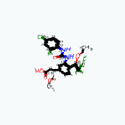 CCO[C@H](c1ccc([C@H](COC)CC(=O)O)cc1NC(=O)Nc1ccc(Cl)cc1F)C(F)(F)F